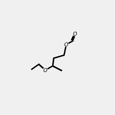 CCOC(C)CCO[C]=O